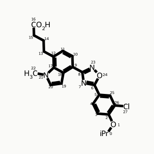 CC(C)Oc1ccc(-c2nc(-c3ccc(CCCC(=O)O)c4c3ccn4C)no2)cc1Cl